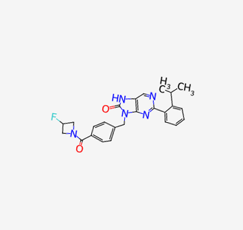 CC(C)c1ccccc1-c1ncc2[nH]c(=O)n(Cc3ccc(C(=O)N4CC(F)C4)cc3)c2n1